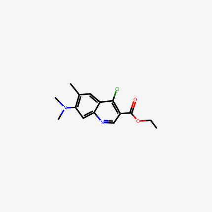 CCOC(=O)c1cnc2cc(N(C)C)c(C)cc2c1Cl